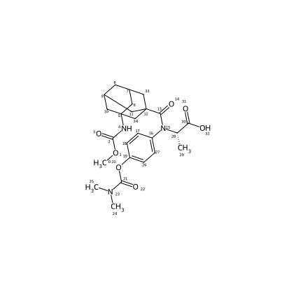 COC(=O)NC12CC3CC(C1)CC(C(=O)N(c1ccc(OC(=O)N(C)C)cc1)[C@@H](C)C(=O)O)(C3)C2